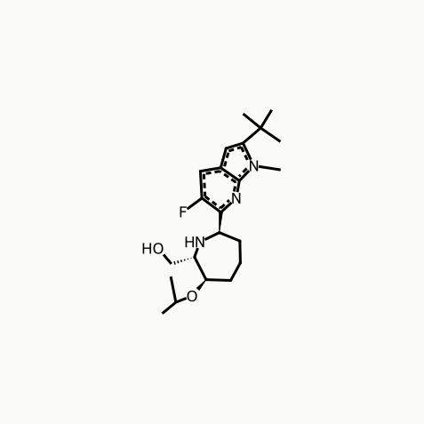 CC(C)O[C@@H]1CCC[C@H](c2nc3c(cc2F)cc(C(C)(C)C)n3C)N[C@H]1CO